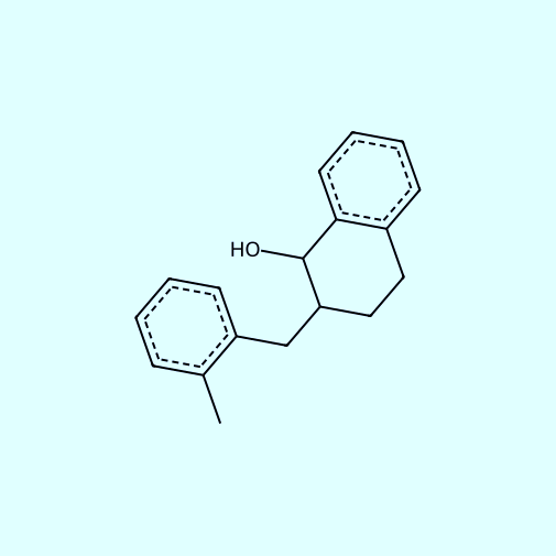 Cc1ccccc1CC1CCc2ccccc2C1O